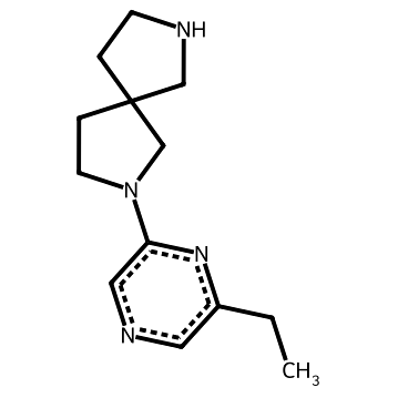 CCc1cncc(N2CCC3(CCNC3)C2)n1